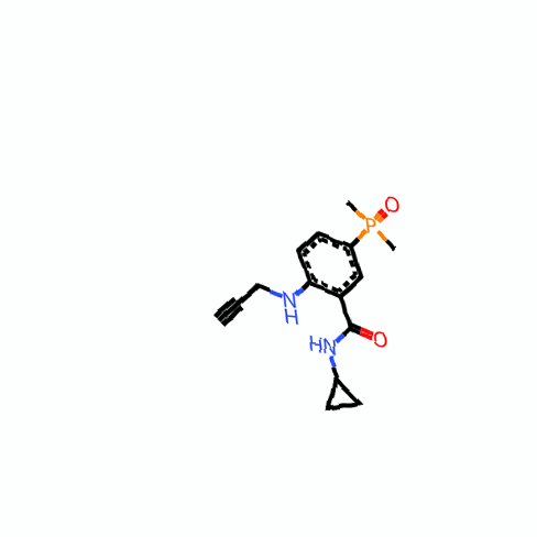 C#CCNc1ccc(P(C)(C)=O)cc1C(=O)NC1CC1